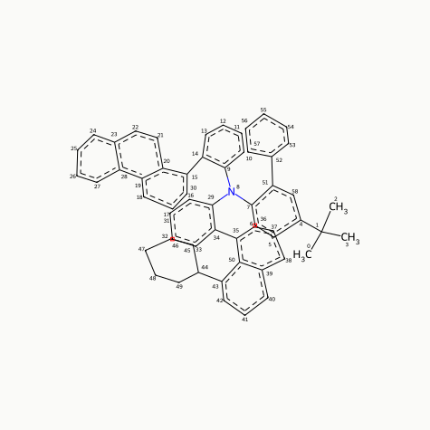 CC(C)(C)c1ccc(N(c2ccccc2-c2cccc3c2ccc2ccccc23)c2ccccc2-c2cccc3cccc(C4CCCCC4)c23)c(-c2ccccc2)c1